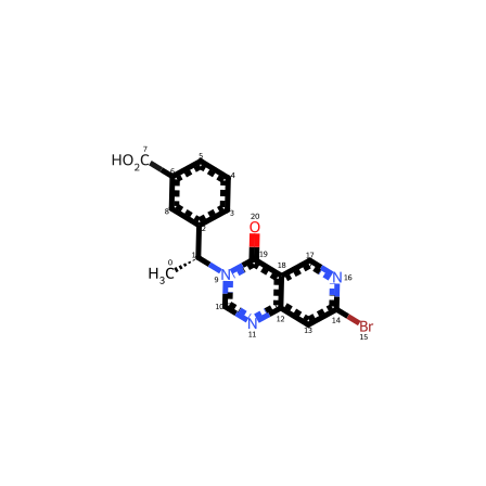 C[C@H](c1cccc(C(=O)O)c1)n1cnc2cc(Br)ncc2c1=O